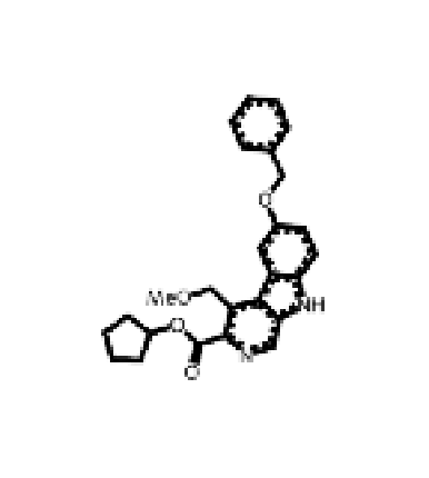 COCc1c(C(=O)OC2CCCC2)ncc2[nH]c3ccc(OCc4ccccc4)cc3c12